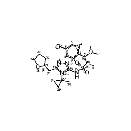 CO[C@H](c1ncc(Cl)cn1)[C@H](C)S(=O)(=O)Nc1nnc(C[C@@H]2CCCO2)n1C1(C)CC1